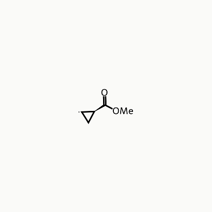 COC(=O)[C@@H]1[CH]C1